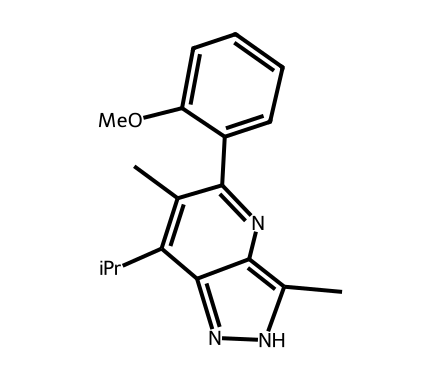 COc1ccccc1-c1nc2c(C)[nH]nc2c(C(C)C)c1C